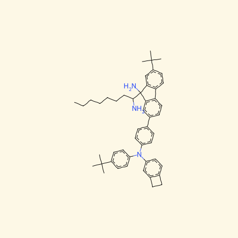 CCCCCCCC(N)C1(N)c2cc(-c3ccc(N(c4ccc(C(C)(C)C)cc4)c4ccc5c(c4)CC5)cc3)ccc2-c2ccc(C(C)(C)C)cc21